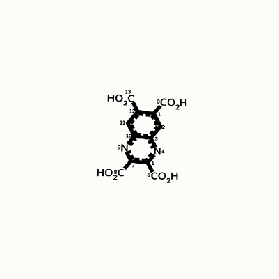 O=C(O)c1cc2nc(C(=O)O)c(C(=O)O)nc2cc1C(=O)O